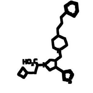 O=C(O)C(CC1CCC1)N1CC(CN2CCC(CCCc3ccccc3)CC2)C(c2ccsc2)C1